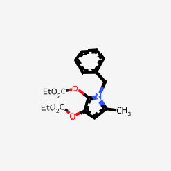 CCOC(=O)Oc1cc(C)n(Cc2ccccc2)c1OC(=O)OCC